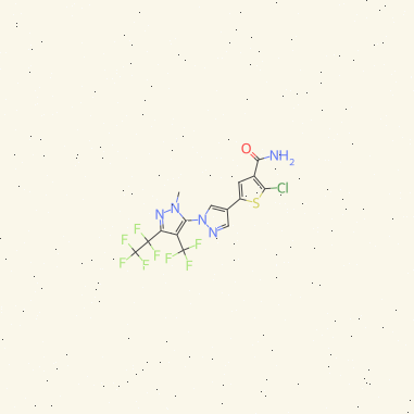 Cn1nc(C(F)(F)C(F)(F)F)c(C(F)(F)F)c1-n1cc(-c2cc(C(N)=O)c(Cl)s2)cn1